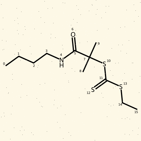 CCCCNC(=O)C(C)(C)SC(=S)SCC